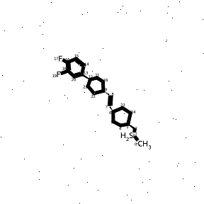 C[SiH2]C[C@H]1CC[C@H](C=C[C@H]2CC[C@H](c3ccc(F)c(F)c3)CC2)CC1